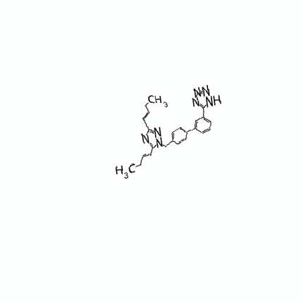 CCC=Cc1nc(C=CCC)n(Cc2ccc(-c3cccc(-c4nnn[nH]4)c3)cc2)n1